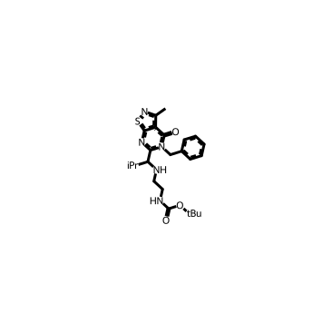 Cc1nsc2nc(C(NCCNC(=O)OC(C)(C)C)C(C)C)n(Cc3ccccc3)c(=O)c12